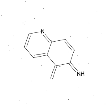 C=C1C(=N)C=Cc2ncccc21